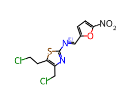 O=[N+]([O-])c1ccc(/C=N/c2nc(CCl)c(CCCl)s2)o1